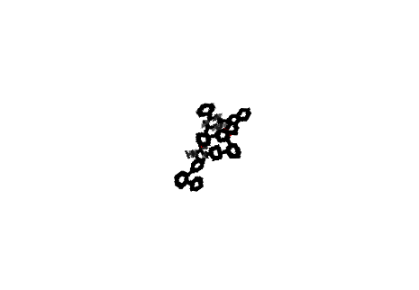 CCC1Nc2cc(-c3ccccc3-c3ccccc3)ccc2N1c1ccc(-c2ccccc2-c2cccc(-c3ccccc3C3N=C(c4ccccc4)N=C(c4cc5ccccc5c5ccccc45)N3)c2)cc1